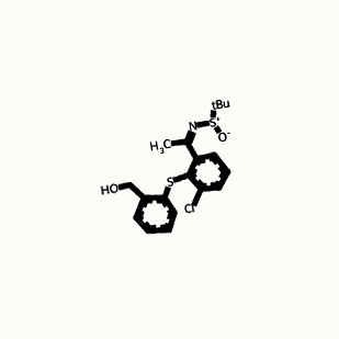 C/C(=N/[S+]([O-])C(C)(C)C)c1cccc(Cl)c1Sc1ccccc1CO